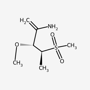 C=C(N)[C@@H](OC)[C@H](C)S(C)(=O)=O